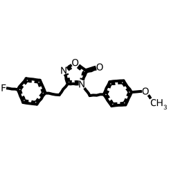 COc1ccc(Cn2c(Cc3ccc(F)cc3)noc2=O)cc1